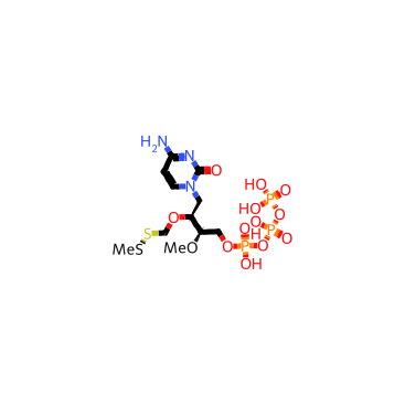 CO[C@H](COP(=O)(O)OP(=O)(O)OP(=O)(O)O)[C@H](Cn1ccc(N)nc1=O)OCSSC